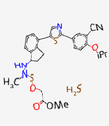 COC(=O)COSN(C)NC1CCc2c(-c3cnc(-c4ccc(OC(C)C)c(C#N)c4)s3)cccc21.S